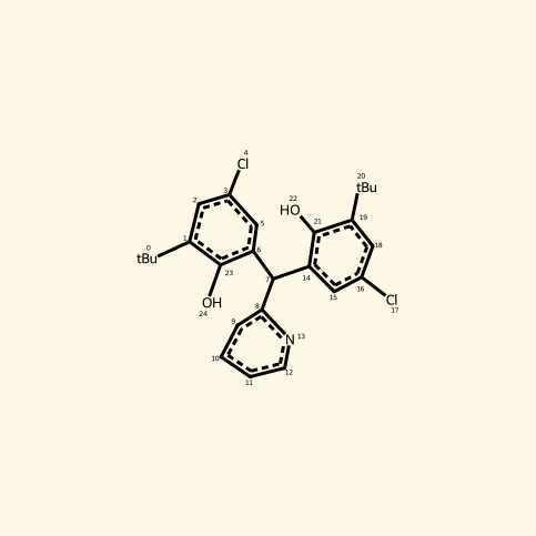 CC(C)(C)c1cc(Cl)cc(C(c2ccccn2)c2cc(Cl)cc(C(C)(C)C)c2O)c1O